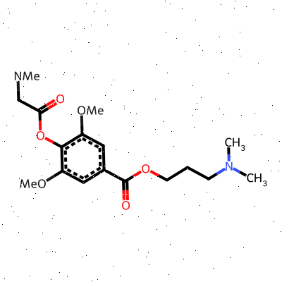 CNCC(=O)Oc1c(OC)cc(C(=O)OCCCN(C)C)cc1OC